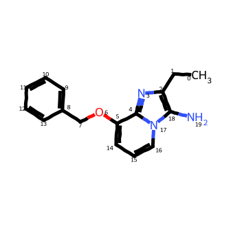 CCc1nc2c(OCc3ccccc3)cccn2c1N